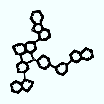 c1ccc(-c2ccc(-c3cccc4ccccc34)cc2N(c2ccc(-c3cccc(-c4ccc5ccccc5c4)c3)cc2)c2cccc(-c3cccc4c3sc3ccccc34)c2)cc1